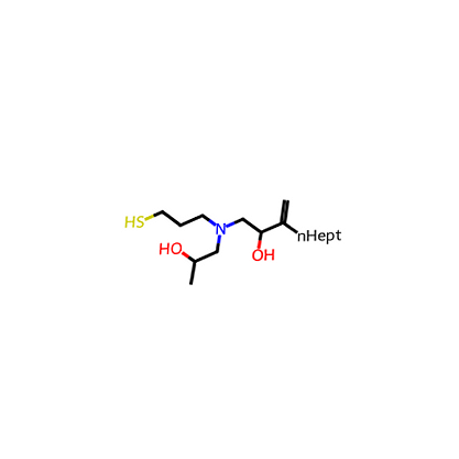 C=C(CCCCCCC)C(O)CN(CCCS)CC(C)O